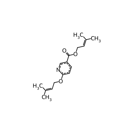 CC(C)=CCOC(=O)c1ccc(OCC=C(C)C)nc1